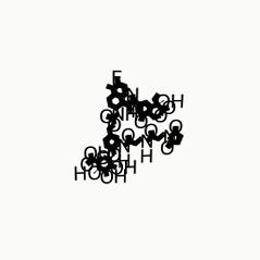 CC[C@@]1(O)C(=O)OCc2c1cc1n(c2=O)Cc2c-1nc1cc(F)c(C)c3c1c2[C@@H](NC(=O)OCc1ccc(O[C@@H]2OC(C(=O)O)[C@@H](O)C(O)C2O)c(NC(=O)CCNC(=O)CCN2C(=O)C=CC2=O)c1)CC3